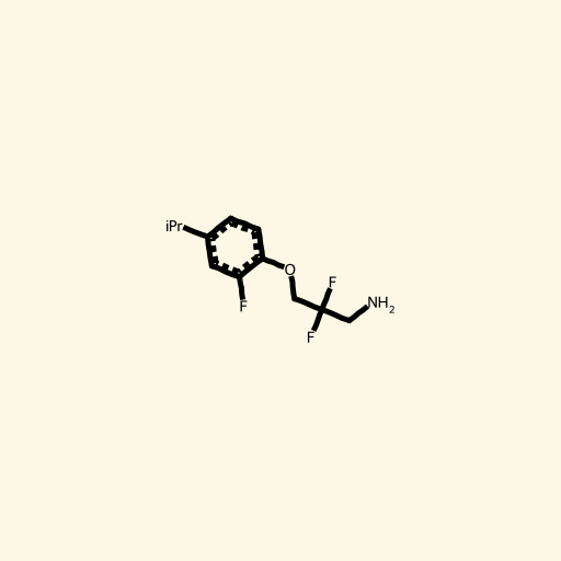 CC(C)c1ccc(OCC(F)(F)CN)c(F)c1